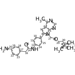 Cc1ncnc2c1cc(-c1ccc(NC(=O)Cc3ccc(N)cc3)cc1)n2COCC[Si](C)(C)C